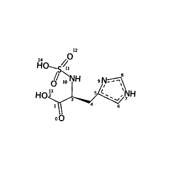 O=C(O)[C@H](Cc1c[nH]cn1)NS(=O)(=O)O